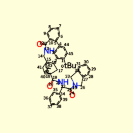 CC(C)(C)c1ccc(-c2ccccc2C(=O)NCC23CCC(C(=O)N[C@H](C(=O)N4Cc5ccccc5C4)c4ccccc4)(CC2)CC3)cc1